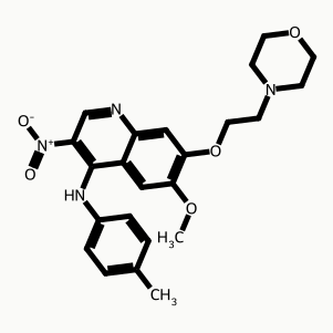 COc1cc2c(Nc3ccc(C)cc3)c([N+](=O)[O-])cnc2cc1OCCN1CCOCC1